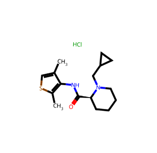 Cc1csc(C)c1NC(=O)[C@@H]1CCCCN1CC1CC1.Cl